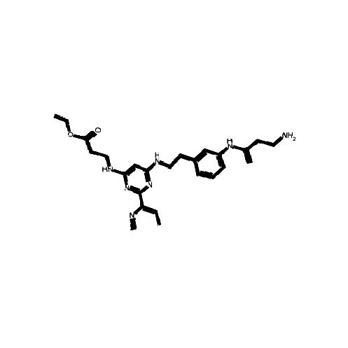 C=N/C(=C\C)c1nc(NCCC(=O)OCC)cc(NCCc2cccc(NC(=C)CCN)c2)n1